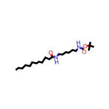 CCCCCCCCCCCC(=O)NCCCCCCNC(=O)OC(C)(C)C